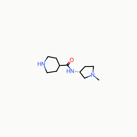 CN1CC[C@@H](NC(=O)C2CCNCC2)C1